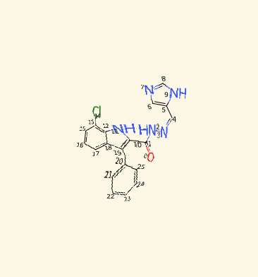 O=C(N/N=C\c1cnc[nH]1)c1[nH]c2c(Cl)cccc2c1-c1ccccc1